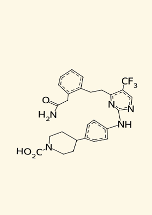 NC(=O)Cc1ccccc1CCc1nc(Nc2ccc(C3CCN(C(=O)O)CC3)cc2)ncc1C(F)(F)F